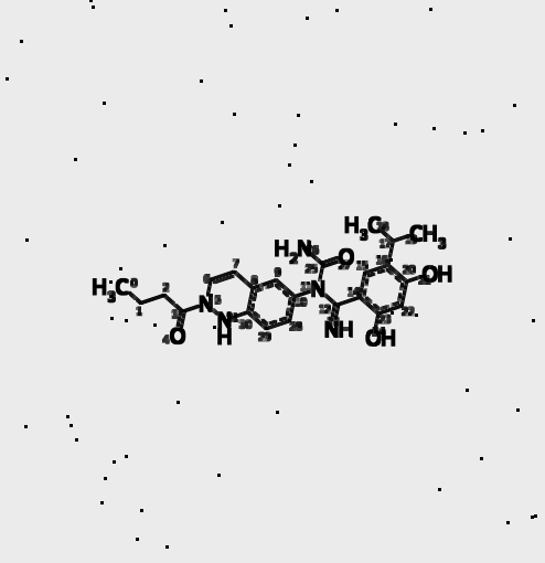 CCCC(=O)N1C=Cc2cc(N(C(=N)c3cc(C(C)C)c(O)cc3O)C(N)=O)ccc2N1